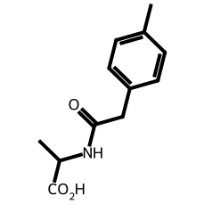 Cc1ccc(CC(=O)NC(C)C(=O)O)cc1